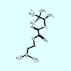 C[C@@H](OC(=O)C(=O)OCCN(C)C)C(C)(C)C